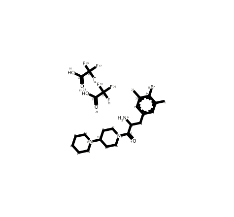 Cc1cc(CC(N)C(=O)N2CCC(N3CCCCC3)CC2)cc(C)c1Br.O=C(O)C(F)(F)F.O=C(O)C(F)(F)F